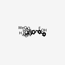 CNCC1(n2cc(C(N)=O)c(NC(=O)OC)n2)CCN(Cc2ccc(-c3ccccc3)c(O)c2F)CC1F